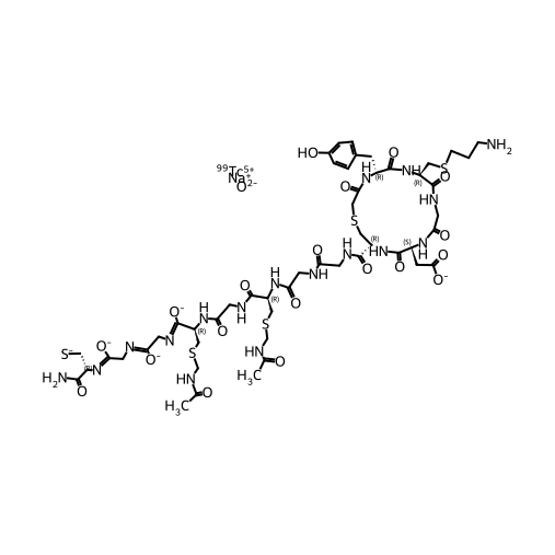 CC(=O)NCSC[C@H](NC(=O)CNC(=O)CNC(=O)[C@@H]1CSCC(=O)N[C@H](Cc2ccc(O)cc2)C(=O)N[C@@H](CSCCCN)C(=O)NCC(=O)N[C@@H](CC(=O)[O-])C(=O)N1)C(=O)NCC(=O)N[C@@H](CSCNC(C)=O)C([O-])=NCC([O-])=NCC([O-])=N[C@@H](C[S-])C(N)=O.[99Tc+5].[Na+].[O-2]